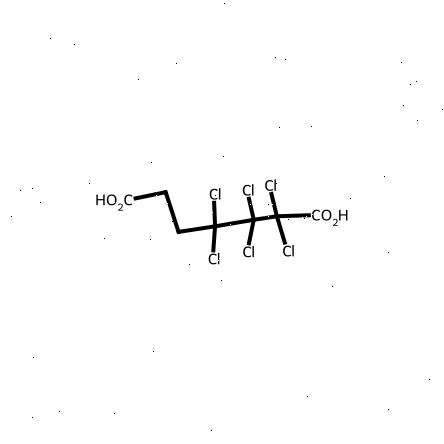 O=C(O)CCC(Cl)(Cl)C(Cl)(Cl)C(Cl)(Cl)C(=O)O